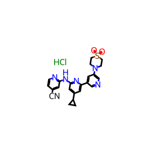 Cl.N#Cc1ccnc(Nc2cc(C3CC3)cc(-c3cncc(N4CCS(=O)(=O)CC4)c3)n2)c1